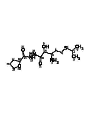 CC(C)SCC[C@@H](N)C(O)C(=O)NNC(=O)C1CCCO1